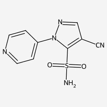 N#Cc1cnn(-c2ccncc2)c1S(N)(=O)=O